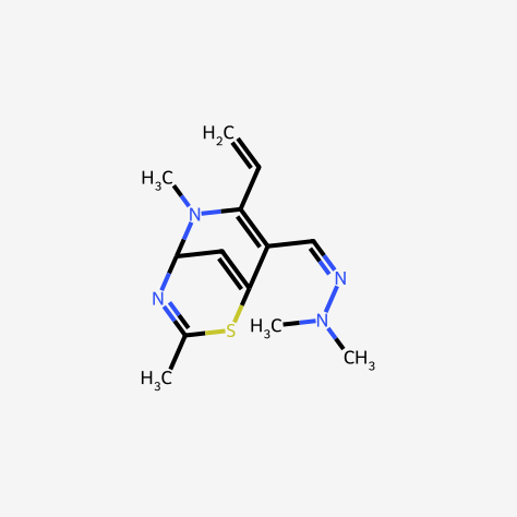 C=CC1=C(/C=N\N(C)C)C2=CC(N=C(C)S2)N1C